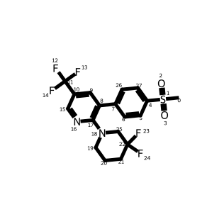 CS(=O)(=O)c1ccc(-c2cc(C(F)(F)F)cnc2N2CCCC(F)(F)C2)cc1